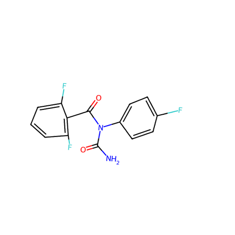 NC(=O)N(C(=O)c1c(F)cccc1F)c1ccc(F)cc1